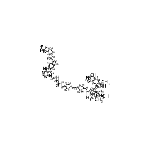 Cc1ncsc1-c1ccc([C@H](C)NC(=O)[C@@H]2C[C@@H](O)CN2C(=O)[C@@H](NC(=O)CCc2ccc(C#Cc3ccc(CCC(=O)NCCCn4cc(-c5ccc6c(c5)CCN6C(=O)Cc5cccc(OC(F)(F)F)c5)c5c(N)ncnc54)cc3)cn2)C(C)(C)C)cc1